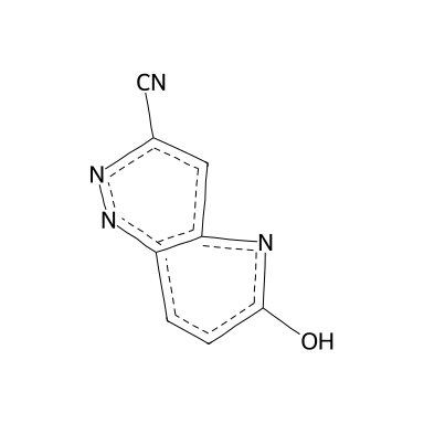 N#Cc1cc2nc(O)ccc2nn1